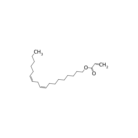 C=CC(=O)OCCCCCCCC/C=C\C/C=C\CCCCC